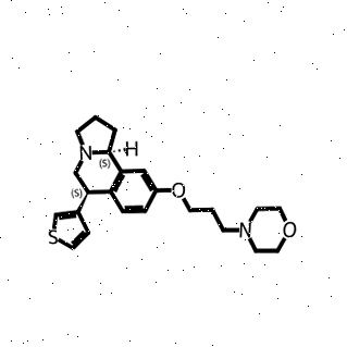 c1cc([C@H]2CN3CCC[C@H]3c3cc(OCCCN4CCOCC4)ccc32)cs1